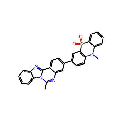 Cc1nc2cc(-c3ccc4c(c3)S(=O)(=O)c3ccccc3N4C)ccc2c2nc3ccccc3n12